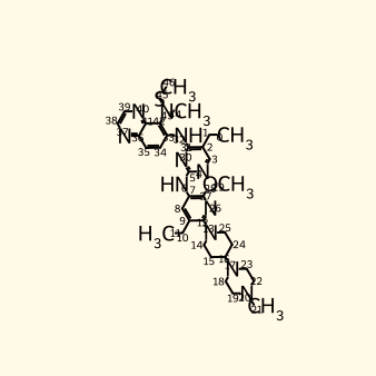 CCc1cnc(Nc2cc(CC)c(N3CCC(N4CCN(C)CC4)CC3)nc2OC)nc1Nc1ccc2nccnc2c1N(C)SC